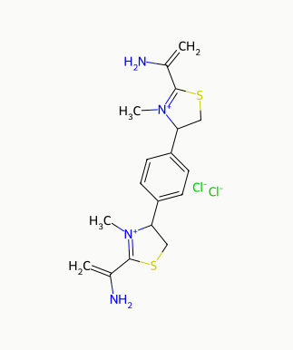 C=C(N)C1=[N+](C)C(c2ccc(C3CSC(C(=C)N)=[N+]3C)cc2)CS1.[Cl-].[Cl-]